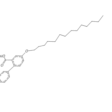 CCCCCCCCCCCCCCOc1ccc(-c2ccccc2)c(C(=O)O)c1